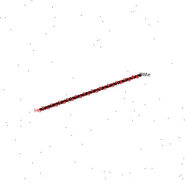 COCCOCCOCCOCCOCCOCCOCCOCCOCCOCCOCCOCCOCCOCCOCCOCCOCCOCCOCCOCCOCCOCCOCCOCCOCCO